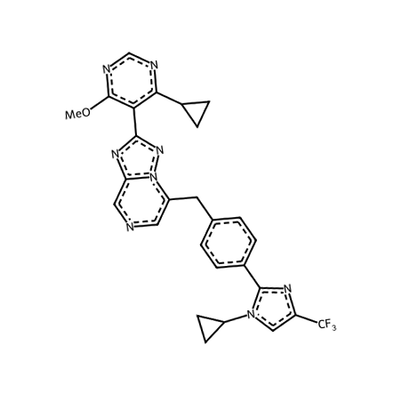 COc1ncnc(C2CC2)c1-c1nc2cncc(Cc3ccc(-c4nc(C(F)(F)F)cn4C4CC4)cc3)n2n1